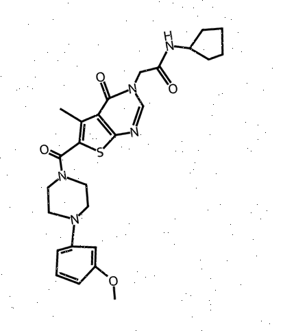 COc1cccc(N2CCN(C(=O)c3sc4ncn(CC(=O)NC5CCCC5)c(=O)c4c3C)CC2)c1